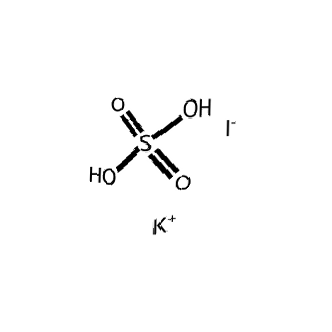 O=S(=O)(O)O.[I-].[K+]